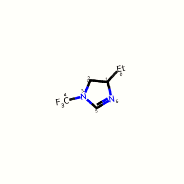 CCC1[C]N(C(F)(F)F)[C]=N1